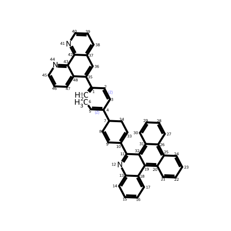 C=C(/C=C\C(=C/C)C1C=CC(c2nc3ccccc3c3c4ccccc4c4ccccc4c23)=CC1)c1cc2cccnc2c2ncccc12